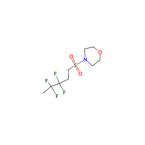 CC(F)(F)C(F)(F)CCS(=O)(=O)N1CCOCC1